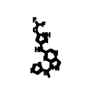 C[C@@H](c1cncs1)n1ncc2ncc(Nc3cc(OC(F)F)[nH]n3)nc21